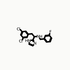 Fc1cccc(CNC(Cc2cc(Cl)cc(Cl)c2)c2ncc[nH]2)c1